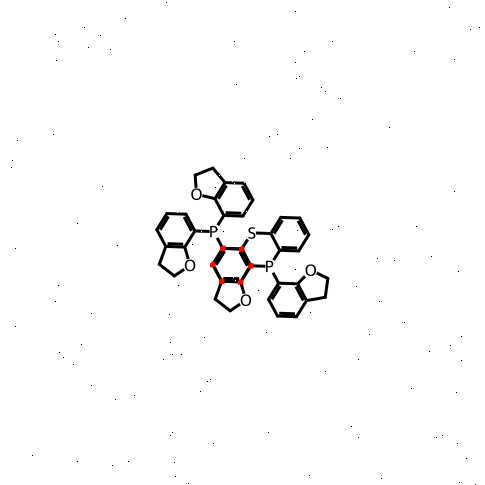 c1ccc(P(c2cccc3c2OCC3)c2cccc3c2OCC3)c(Sc2ccccc2P(c2cccc3c2OCC3)c2cccc3c2OCC3)c1